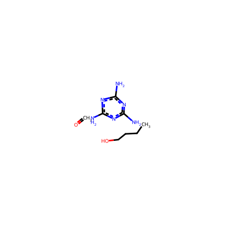 C=O.CCCCO.Nc1nc(N)nc(N)n1